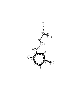 Fc1ccc(F)c(NOCC(F)F)c1